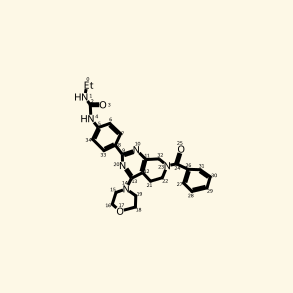 CCNC(=O)Nc1ccc(-c2nc3c(c(N4CCOCC4)n2)CCN(C(=O)c2ccccc2)C3)cc1